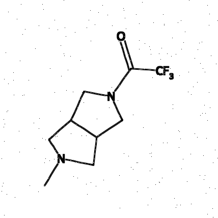 CN1CC2CN(C(=O)C(F)(F)F)CC2C1